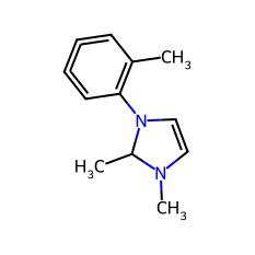 CC1=C(N2C=CN(C)C2C)C=C=C=C1